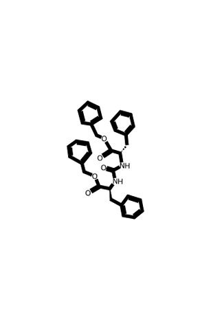 O=C(N[C@@H](Cc1ccccc1)C(=O)OCc1ccccc1)N[C@@H](Cc1ccccc1)C(=O)OCc1ccccc1